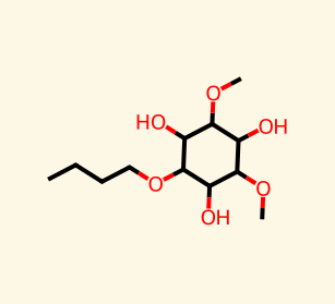 CCCCOC1C(O)C(OC)C(O)C(OC)C1O